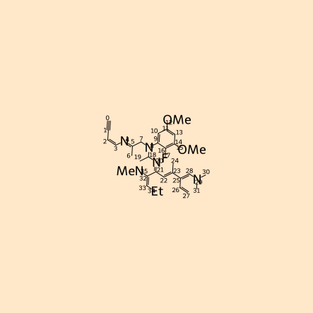 C#C/C=C\N=C(/C)CN(c1cc(OC)cc(OC)c1F)C(C)/N=C(/C=C(C)/C(C=C)=C/N(C)C)C(=C/CC)\NC